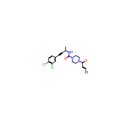 CC/C=C/C(=O)N1CCN(C(=O)NC(C)C#Cc2ccc(Cl)c(Cl)c2)CC1